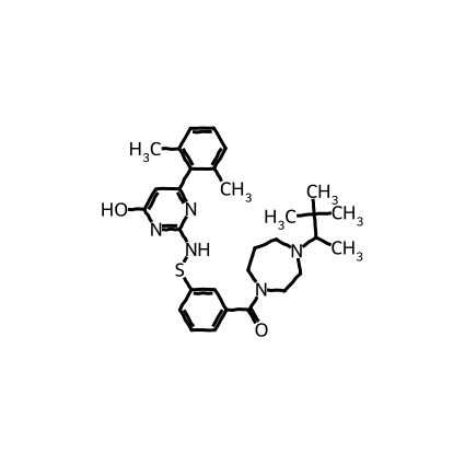 Cc1cccc(C)c1-c1cc(O)nc(NSc2cccc(C(=O)N3CCCN(C(C)C(C)(C)C)CC3)c2)n1